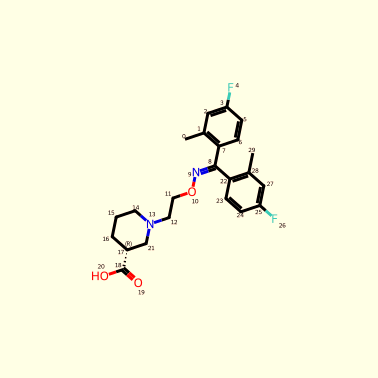 Cc1cc(F)ccc1C(=NOCCN1CCC[C@@H](C(=O)O)C1)c1ccc(F)cc1C